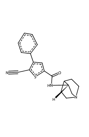 N#Cc1sc(C(=O)N[C@H]2CN3CCC2CC3)cc1-c1ccccc1